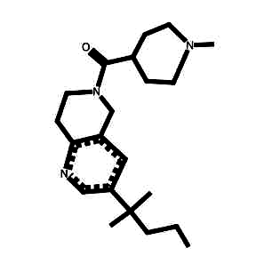 CCCC(C)(C)c1cnc2c(c1)CN(C(=O)C1CCN(C)CC1)CC2